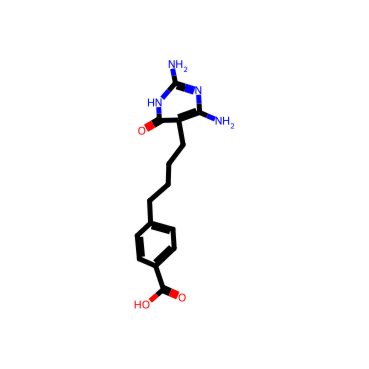 Nc1nc(N)c(CCCCc2ccc(C(=O)O)cc2)c(=O)[nH]1